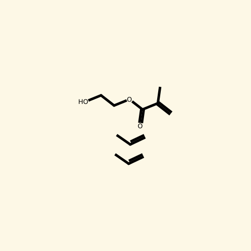 C=C(C)C(=O)OCCO.C=CC.C=CC